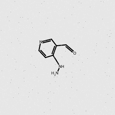 NNc1ccncc1C=O